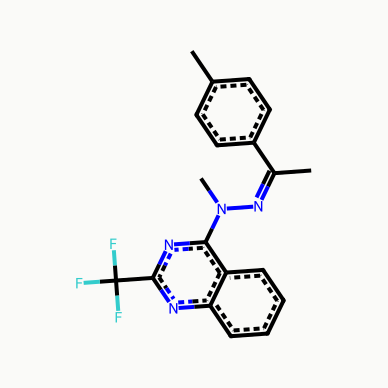 CC(=NN(C)c1nc(C(F)(F)F)nc2ccccc12)c1ccc(C)cc1